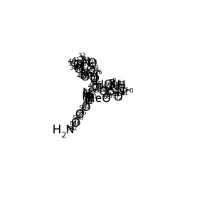 C=C1C[C@H]2[C@H](C)N(B(C)O)c3cc(OCc4cc(COc5cc6c(cc5C)C(=O)N5CC(=C)C[C@H]5[C@H](OC5CCCCO5)N6B(C)O)cc(-c5cn(CCOCCOCCOCCN)nn5)c4)c(OC)cc3C(=O)N2C1